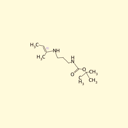 C/C=C(\C)NCCCNC(=O)OC(C)(C)C